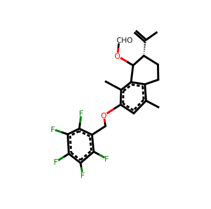 C=C(C)[C@@H]1CCc2c(C)cc(OCc3c(F)c(F)c(F)c(F)c3F)c(C)c2C1OC=O